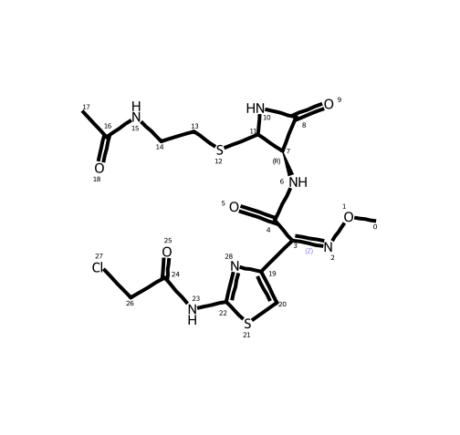 CO/N=C(\C(=O)N[C@@H]1C(=O)NC1SCCNC(C)=O)c1csc(NC(=O)CCl)n1